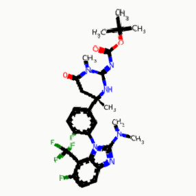 CN1C(=O)C[C@@](C)(c2ccc(F)c(-n3c(N(C)C)nc4ccc(F)c(C(F)(F)F)c43)c2)N/C1=N/C(=O)OC(C)(C)C